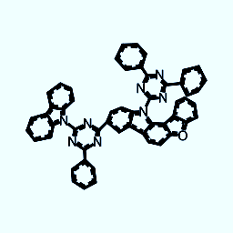 c1ccc(-c2nc(-c3ccc4c(c3)c3ccc5oc6ccccc6c5c3n4-c3nc(-c4ccccc4)nc(-c4ccccc4)n3)nc(-n3c4ccccc4c4ccccc43)n2)cc1